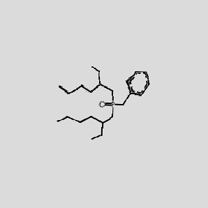 CCCCC(CC)CP(=O)(Cc1ccccc1)CC(CC)CCCC